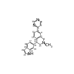 CN1Cc2cc(-c3ccncn3)ccc2C(c2ccc3cc[nH]c3c2)C1